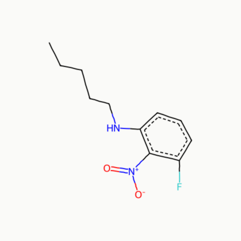 CCCCCNc1cccc(F)c1[N+](=O)[O-]